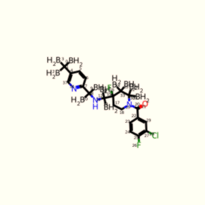 BC(B)(B)c1ccc(C(B)(B)NC(B)(B)C2(F)CCN(C(=O)c3ccc(F)c(Cl)c3)C(B)(B)C2(B)B)nc1